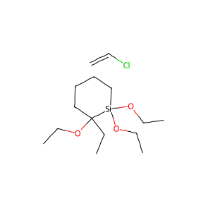 C=CCl.CCOC1(CC)CCCC[Si]1(OCC)OCC